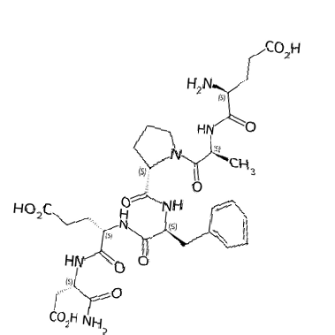 C[C@H](NC(=O)[C@@H](N)CCC(=O)O)C(=O)N1CCC[C@H]1C(=O)N[C@@H](Cc1ccccc1)C(=O)N[C@@H](CCC(=O)O)C(=O)N[C@@H](CC(=O)O)C(N)=O